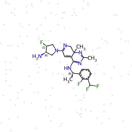 CC1=NC2(C)CN=C(N3C[C@@H](N)[C@@H](F)C3)C=C2C(N[C@H](C)c2cccc(C(F)F)c2F)=N1